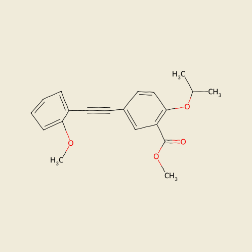 COC(=O)c1cc(C#Cc2ccccc2OC)ccc1OC(C)C